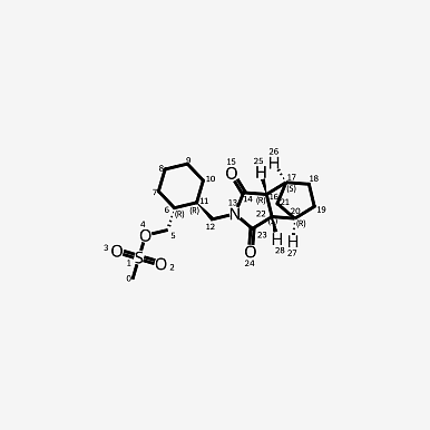 CS(=O)(=O)OC[C@@H]1CCCC[C@H]1CN1C(=O)[C@@H]2[C@H]3CC[C@H](C3)[C@@H]2C1=O